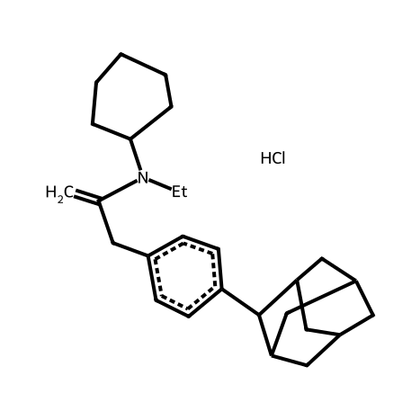 C=C(Cc1ccc(C2C3CC4CC(C3)CC2C4)cc1)N(CC)C1CCCCC1.Cl